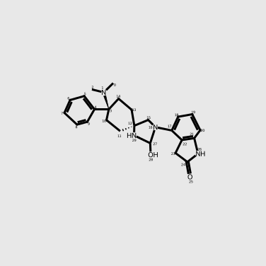 CN(C)[C@]1(c2ccccc2)CC[C@]2(CC1)CN(c1cccc3c1CC(=O)N3)C(O)N2